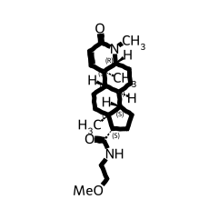 COCCNC(=O)[C@H]1CC[C@H]2[C@@H]3CC[C@H]4N(C)C(=O)C=C[C@]4(C)[C@H]3CC[C@]12C